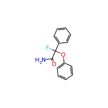 NC(=O)C(F)(Oc1ccccc1)c1ccccc1